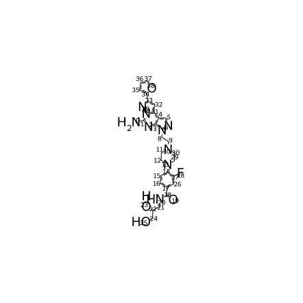 Nc1nc2c(cnn2CCN2CCN(c3ccc(C(=O)NCC(O)CO)cc3F)CC2)c2cc(-c3ccco3)nn12